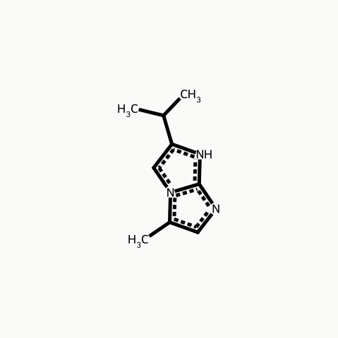 Cc1cnc2[nH]c(C(C)C)cn12